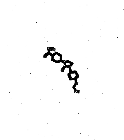 COC(=O)C1CCC(N2CCN(c3ccc(OCC#N)cc3)C2=O)CC1